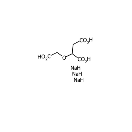 O=C(O)COC(CC(=O)O)C(=O)O.[NaH].[NaH].[NaH]